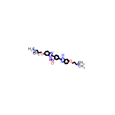 CN(C)CCCOc1ccc2nc(-c3ccc(-c4nc5ccc(OCCCN(C)C)cc5[nH]4)c([N+](=O)[O-])c3)[nH]c2c1